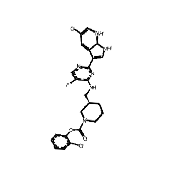 O=C(Oc1ccccc1Cl)N1CCC[C@H](CNc2nc(C3=CNC4NC=C(Cl)C=C34)ncc2F)C1